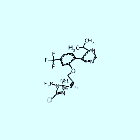 CC(C)c1ncncc1-c1ccc(C(F)(F)F)cc1OC/C=C\[C@@]1(N)N=C(Cl)N1N